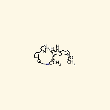 C=CC(=O)N1CCC(CC(=O)Nc2cc3cc(c2)Nc2nccc(n2)-c2cccc(c2)OCC/C=C/CN(C)C3)C1